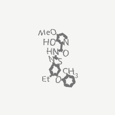 CCc1cc2nc(NC(=O)c3nccc(OC)c3O)sc2cc1Oc1ccccc1C